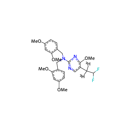 [2H]C([2H])(c1cnc(N(Cc2ccc(OC)cc2OC)Cc2ccc(OC)cc2OC)nc1OC)C(F)F